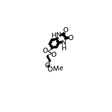 COOCCS(=O)(=O)c1ccc2[nH]c(=O)c(=O)[nH]c2c1